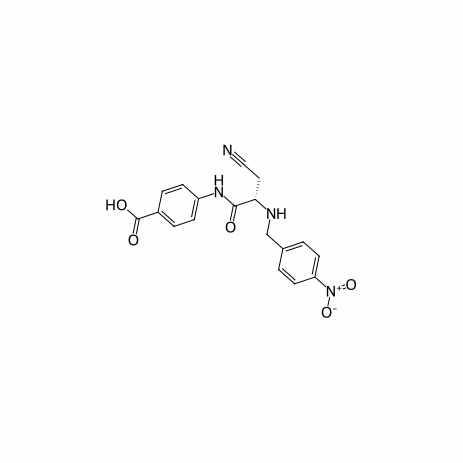 N#CC[C@H](NCc1ccc([N+](=O)[O-])cc1)C(=O)Nc1ccc(C(=O)O)cc1